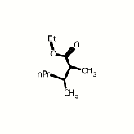 CCCC(C)C(C)C(=O)OCC